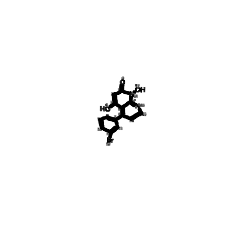 O=c1cc(O)c2c(-c3cccc(Br)c3)ccnc2n1O